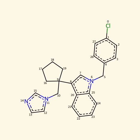 Clc1ccc(Cn2cc(C3(Cn4ccnc4)CCCC3)c3ccccc32)cc1